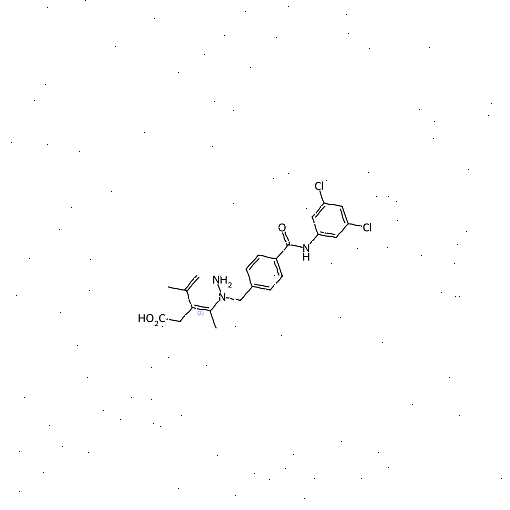 C=C(C)/C(CC(=O)O)=C(/C)N(N)Cc1ccc(C(=O)Nc2cc(Cl)cc(Cl)c2)cc1